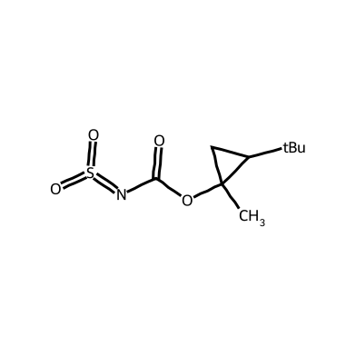 CC(C)(C)C1CC1(C)OC(=O)N=S(=O)=O